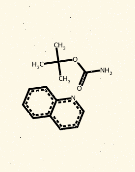 CC(C)(C)OC(N)=O.c1ccc2ncccc2c1